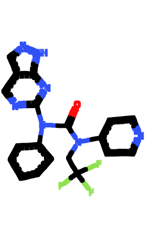 O=C(N(CC(F)(F)F)c1ccncc1)N(c1ccccc1)c1ncc2cn[nH]c2n1